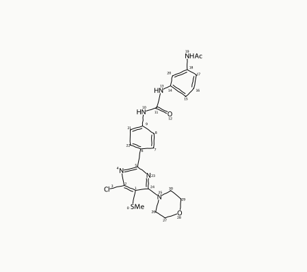 CSc1c(Cl)nc(-c2ccc(NC(=O)Nc3cccc(NC(C)=O)c3)cc2)nc1N1CCOCC1